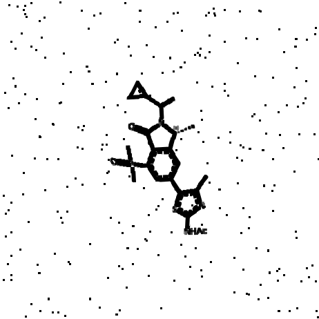 CC(=O)Nc1nc(C)c(-c2cc3c(c(P(C)(C)=O)c2)C(=O)N(C(C)C2CC2)[C@@H]3C)s1